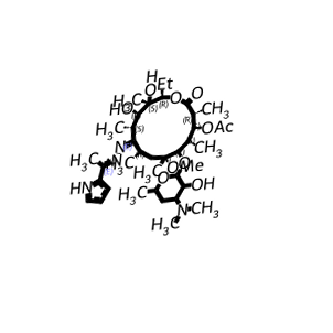 CC[C@H]1OC(=O)[C@H](C)[C@@H](OC(C)=O)[C@H](C)[C@@H](OC2OC(C)CC(N(C)C)C2O)[C@](C)(OC)C[C@@H](C)/C(=N\N=C(/C)c2ccc[nH]2)[C@H](C)[C@@H](O)[C@]1(C)O